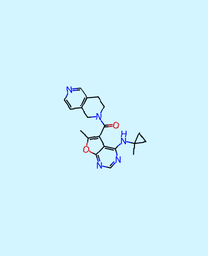 Cc1oc2ncnc(NC3(C)CC3)c2c1C(=O)N1CCc2cnccc2C1